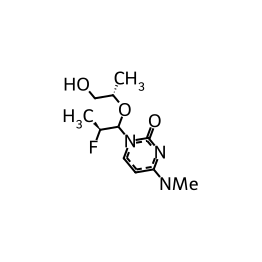 CNc1ccn(C(O[C@@H](C)CO)[C@H](C)F)c(=O)n1